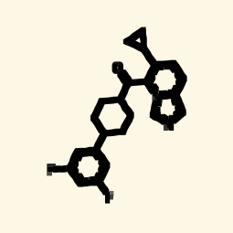 O=C(c1c(C2CC2)ccc2cncn12)C1CCC(c2cc(F)cc(F)c2)CC1